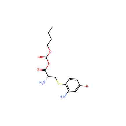 CCCCOC(=O)OC(=O)[C@@H](N)CSc1ccc(Br)cc1N